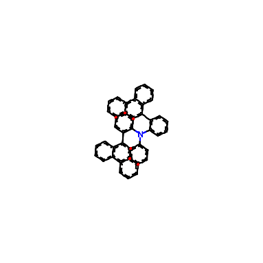 c1ccc(N(c2ccccc2-c2cc3ccccc3c3ccccc23)c2ccccc2-c2cc3ccccc3c3ccccc23)cc1